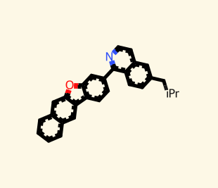 CC(C)Cc1ccc2c(-c3ccc4c(c3)oc3cc5ccccc5cc34)nccc2c1